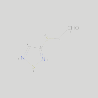 O=[C]CSc1cnsn1